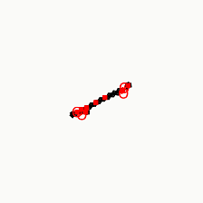 CC(C)COC(=O)CCCCCCCCCCCCCCCC(CC(=O)OCC(C)C)C(C)C